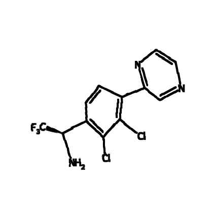 N[C@H](c1ccc(-c2cnccn2)c(Cl)c1Cl)C(F)(F)F